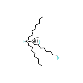 CCCCCCCC[Si](F)(CCCCCCCC)[SiH](CC)CC(F)CCCCCCF